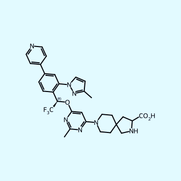 Cc1ccn(-c2cc(-c3ccncc3)ccc2[C@@H](Oc2cc(N3CCC4(CC3)CNC(C(=O)O)C4)nc(C)n2)C(F)(F)F)n1